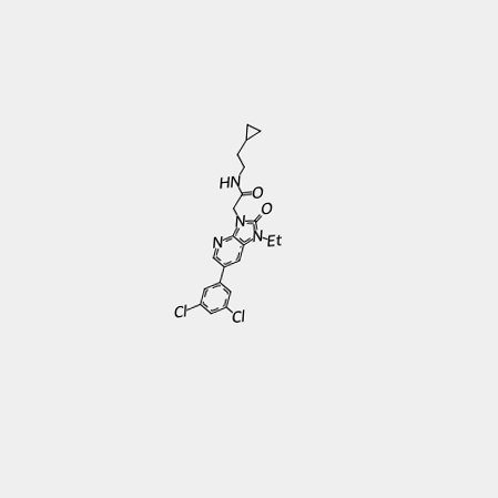 CCn1c(=O)n(CC(=O)NCCC2CC2)c2ncc(-c3cc(Cl)cc(Cl)c3)cc21